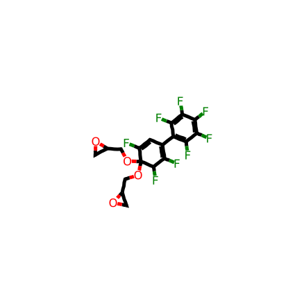 FC1=CC(c2c(F)c(F)c(F)c(F)c2F)=C(F)C(F)C1(OCC1CO1)OCC1CO1